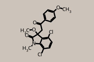 COc1ccc(C(=O)CC2(OC)C(=O)N(C)c3c(Cl)ccc(Cl)c32)cc1